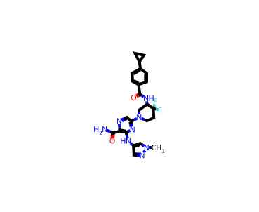 Cn1cc(Nc2nc(N3CCC(F)(F)C(NC(=O)c4ccc(C5CC5)cc4)C3)cnc2C(N)=O)cn1